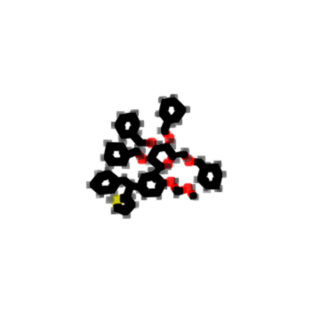 COCOc1ccc(C(Cc2ccccc2)c2cccs2)cc1[C@@H]1O[C@H](COCc2ccccc2)[C@@H](OCc2ccccc2)[C@H](OCc2ccccc2)[C@H]1OCc1ccccc1